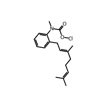 CC(C)=CCC/C(C)=C/Cc1ccccc1N(C)C(=O)OCl